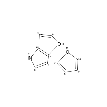 c1cc2occc2[nH]1.c1ccoc1